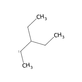 C[C]C(CC)CC